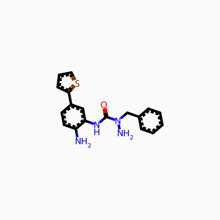 Nc1ccc(-c2cccs2)cc1NC(=O)N(N)Cc1ccccc1